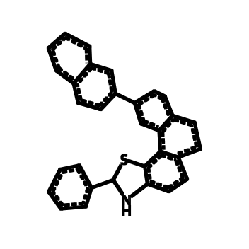 c1ccc(C2Nc3ccc4ccc5ccc(-c6ccc7ccccc7c6)cc5c4c3S2)cc1